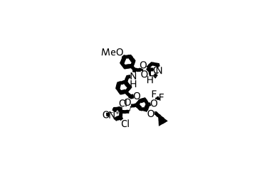 COc1ccc(C(NCc2cccc(C(=O)O[C@@H](Cc3c(Cl)c[n+]([O-])cc3Cl)c3ccc(OC(F)F)c(OCC4CC4)c3)c2)C(=O)O[C@H]2CN3CCC2CC3)cc1